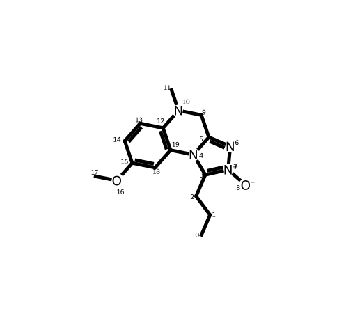 CCCc1n2c(n[n+]1[O-])CN(C)c1ccc(OC)cc1-2